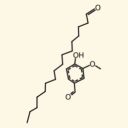 CCCCCCCCCCCCCCCC=O.COc1cc(C=O)ccc1O